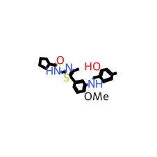 COc1ccc(-c2sc(NC(=O)C3CCCC3)nc2C)cc1NCc1ccc(C)cc1O